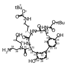 CC(C)(C)OC(=O)NCCC[C@@H]1NC(=O)[C@@H](NC(=O)OC(C)(C)C)Cc2cc(ccc2O)-c2ccc(O)c(c2)C[C@@H](C(=O)N(CCN)CCO)NC1=O